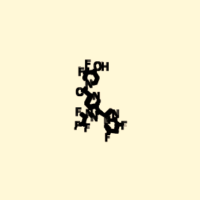 O=C(c1cc2c(cn1)c(-c1cnc3c(F)cc(F)cn13)nn2C(F)C(F)F)N1CCC(O)C(F)(F)C1